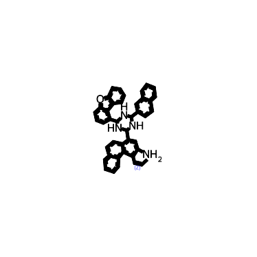 C/C=C\c1c(N)cc(C2NC(c3ccc4ccccc4c3)NC(c3cccc4oc5ccccc5c34)N2)c2ccc3ccccc3c12